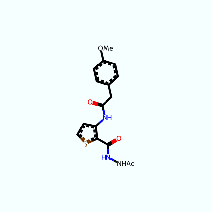 COc1ccc(CC(=O)Nc2ccsc2C(=O)NNC(C)=O)cc1